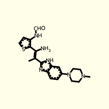 C/C(=C(/N)c1sccc1NC=O)c1nc2ccc(N3CCN(C)CC3)cc2[nH]1